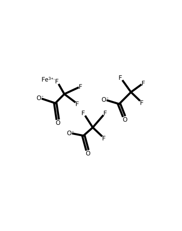 O=C([O-])C(F)(F)F.O=C([O-])C(F)(F)F.O=C([O-])C(F)(F)F.[Fe+3]